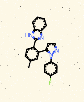 Cc1ccc(-c2nc3ccccc3[nH]2)c(-c2ccnn2-c2ccc(F)cc2)c1